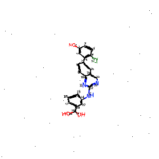 Oc1ccc(Cl)c(-c2ccc3nc(Nc4cccc(C(O)O)c4)ncc3c2)c1